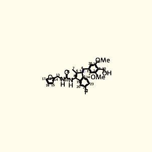 COc1cc(/C=C2/C(C)=C(NC(=O)NCc3ccco3)c3cc(F)ccc32)cc(OC)c1CO